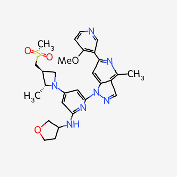 COc1ccncc1-c1cc2c(cnn2-c2cc(N3C[C@H](CS(C)(=O)=O)[C@H]3C)cc(NC3CCOC3)n2)c(C)n1